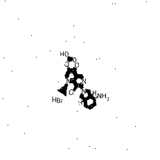 Br.N[C@@H]1C=CC[C@@H]2CN(c3ncc4c(=O)c(OC(=O)O)cn(C5CC5)c4c3Cl)C[C@@H]21